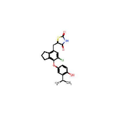 CC(C)c1cc(Oc2c(Cl)cc(CC3SC(=O)NC3=O)c3c2CCC3)ccc1O